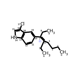 CCCC/C(CC)=C(\CC)c1ccc2[nH]cc(Cl)c2c1